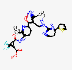 Cc1nc(-c2onc(C)c2CNc2nccc(-c3cccs3)n2)ccc1NC(=O)C1C(C(=O)O)C1(F)F